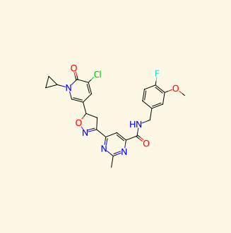 COc1cc(CNC(=O)c2cc(C3=NOC(c4cc(Cl)c(=O)n(C5CC5)c4)C3)nc(C)n2)ccc1F